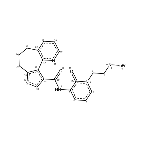 CCCNCCn1cccc(NC(=O)c2c[nH]c3c2-c2ncccc2CCC3)c1=O